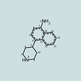 Nc1ccc(C2CCNCC2)c2ccccc12